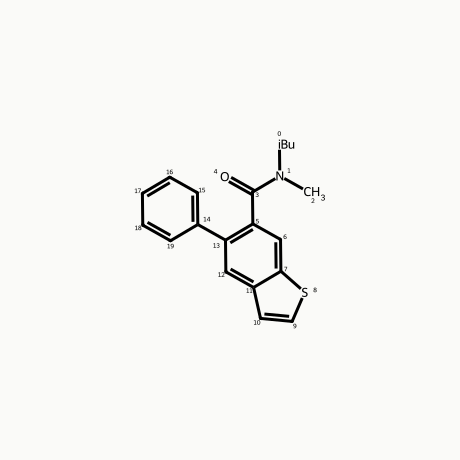 CCC(C)N(C)C(=O)c1cc2sccc2cc1-c1ccccc1